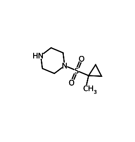 CC1(S(=O)(=O)N2CCNCC2)CC1